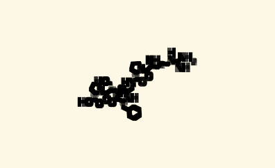 N=C(N)NCCC[C@H](N)C(=O)N1CCC[C@H]1C(=O)NCC(=O)N[C@@H](Cc1ccccc1)C(=O)N[C@@H](CO)C(=O)N1CCC[C@H]1C(=O)O